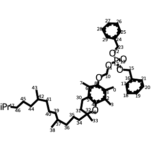 Cc1c(C)c2c(c(C)c1OCOP(=O)(OCc1ccccc1)OCc1ccccc1)CCC(C)(CCCC(C)CCCC(C)CCCC(C)C)O2